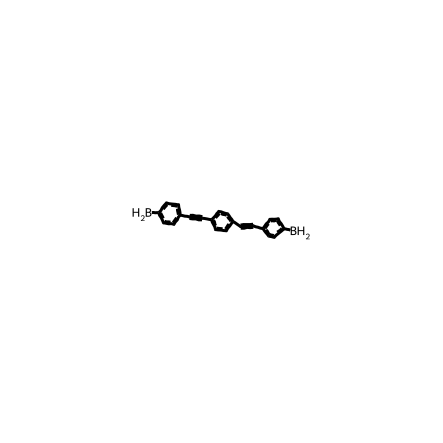 Bc1ccc(C#Cc2ccc(C#Cc3ccc(B)cc3)cc2)cc1